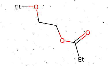 C[CH]C(=O)OCCOCC